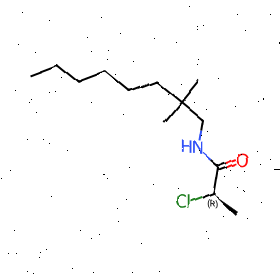 CCCCCCC(C)(C)CNC(=O)[C@@H](C)Cl